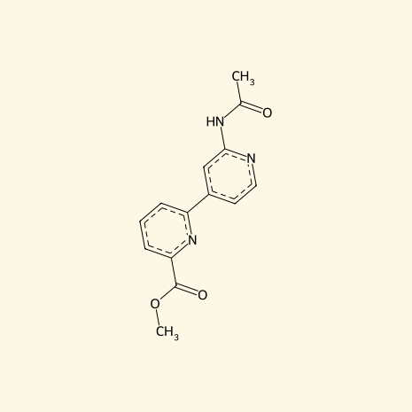 COC(=O)c1cccc(-c2ccnc(NC(C)=O)c2)n1